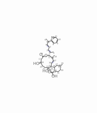 C/C(=C\C=C\[C@@H](C)c1ccccn1)[C@H]1OC(=O)C[C@H](O)CC[C@@](C)(O)[C@H](C2CN(C)CCN2C(=O)O)/C=C/[C@@H]1C